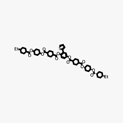 CCC1CCC(C(=O)OC2CCC(OC(=O)C3CCC(C(=O)Oc4ccc(OC(=O)C5CCC(C(=O)O[C@H]6CC[C@H](OC(=O)[C@H]7CC[C@H](CC)CC7)CC6)CC5)cc4-c4cccs4)CC3)CC2)CC1